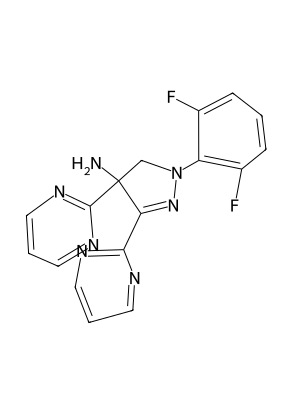 NC1(c2ncccn2)CN(c2c(F)cccc2F)N=C1c1ncccn1